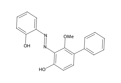 COc1c(-c2ccccc2)ccc(O)c1N=Nc1ccccc1O